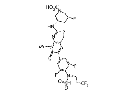 CC(C)n1c(=O)c(-c2cc(F)c(N(CCC(F)(F)F)[SH](=O)=O)c(F)c2)nc2cnc(N[C@H]3C[C@H](F)CN(C(=O)O)C3)nc21